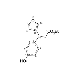 CCOC(=O)CC(c1ccc(O)cc1)c1ccon1